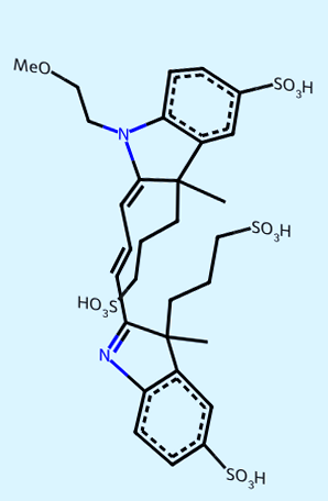 COCCN1/C(=C/C=C/C2=Nc3ccc(S(=O)(=O)O)cc3C2(C)CCCS(=O)(=O)O)C(C)(CCCS(=O)(=O)O)c2cc(S(=O)(=O)O)ccc21